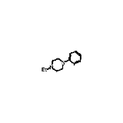 CCN1CCN(c2[c]cccc2)CC1